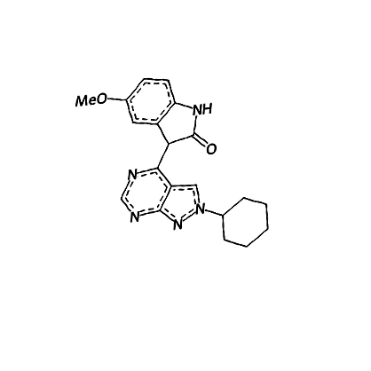 COc1ccc2c(c1)C(c1ncnc3nn(C4CCCCC4)cc13)C(=O)N2